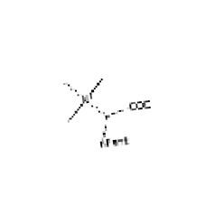 CCCCCC(C(=O)[O-])[N+](C)(C)C